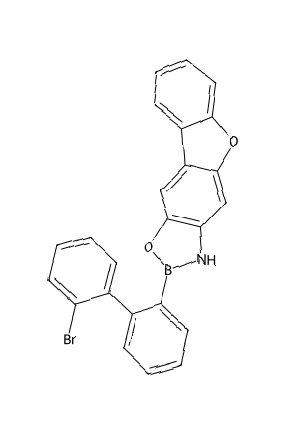 Brc1ccccc1-c1ccccc1B1Nc2cc3oc4ccccc4c3cc2O1